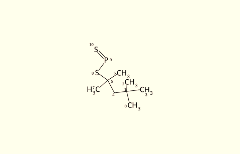 CC(C)(C)CC(C)(C)SP=S